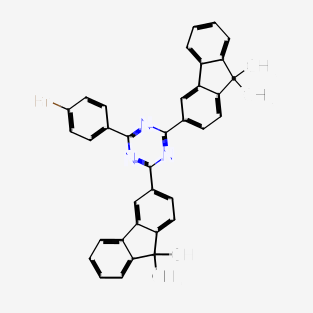 CC1(C)c2ccccc2-c2cc(-c3nc(-c4ccc(Br)cc4)nc(-c4ccc5c(c4)-c4ccccc4C5(C)C)n3)ccc21